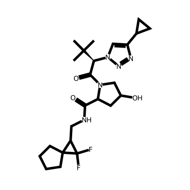 CC(C)(C)[C@H](C(=O)N1CC(O)CC1C(=O)NCC1C(F)(F)C12CCCC2)n1cc(C2CC2)nn1